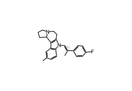 C/C(=C\n1c2c(c3cc(C)ccc31)C1CCCN1CC2)c1ccc(F)cc1